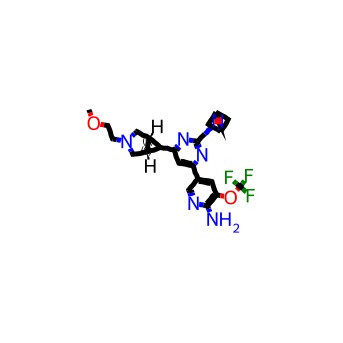 COCCN1C[C@@H]2C(c3cc(-c4cnc(N)c(OC(F)(F)F)c4)nc(N4CC5CC4C5)n3)[C@@H]2C1